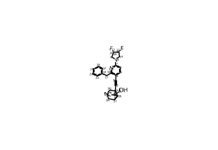 O[C@]1(C#Cc2ccc(N3C[C@@H](F)[C@@H](F)C3)nc2Cc2ccccc2)CN2CCC1CC2